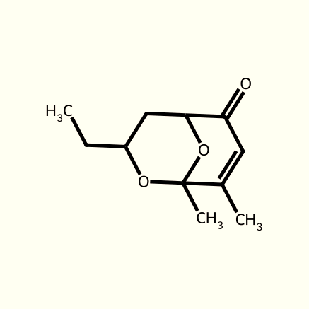 CCC1CC2OC(C)(O1)C(C)=CC2=O